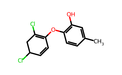 Cc1ccc(OC2=C(Cl)CC(Cl)C=C2)c(O)c1